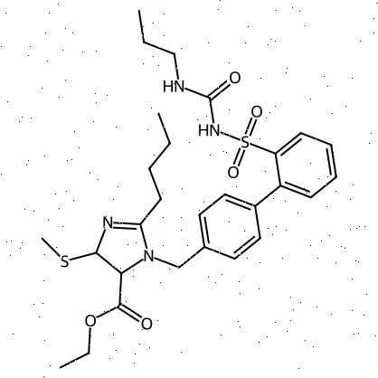 CCCCC1=NC(SC)C(C(=O)OCC)N1Cc1ccc(-c2ccccc2S(=O)(=O)NC(=O)NCCC)cc1